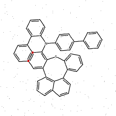 c1ccc(-c2ccc(N(c3ccccc3-c3ccccc3)c3cccc4c3Sc3ccccc3-c3cccc5cccc-4c35)cc2)cc1